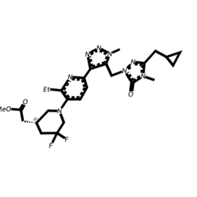 CCc1nc(-c2nnn(C)c2Cn2nc(CC3CC3)n(C)c2=O)ccc1N1C[C@@H](CC(=O)OC)CC(F)(F)C1